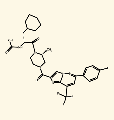 C[C@H]1CN(C(=O)c2cn3nc(-c4ccc(F)cc4)cc(C(F)(F)F)c3n2)CCN1C(=O)[C@@H](CC1CCCCC1)NC(=O)O